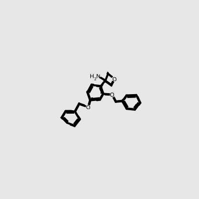 NC1(c2ccc(OCc3ccccc3)cc2OCc2ccccc2)COC1